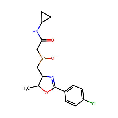 CC1OC(c2ccc(Cl)cc2)=NC1C[S+]([O-])CC(=O)NC1CC1